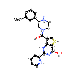 COc1cccc(C2CN(C(=O)c3csc4c(O)nc(-c5ccccn5)nc34)CCN2)c1